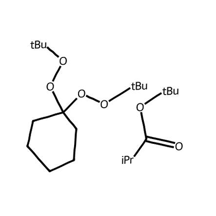 CC(C)(C)OOC1(OOC(C)(C)C)CCCCC1.CC(C)C(=O)OC(C)(C)C